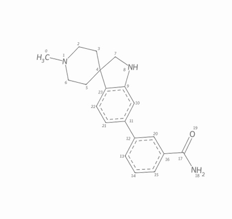 CN1CCC2(CC1)CNc1cc(-c3cccc(C(N)=O)c3)ccc12